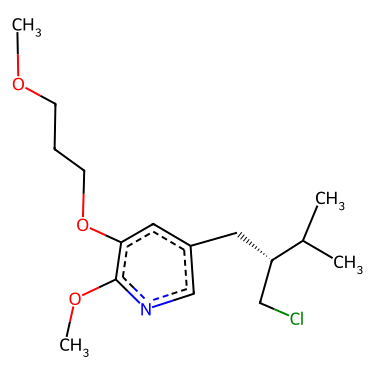 COCCCOc1cc(C[C@@H](CCl)C(C)C)cnc1OC